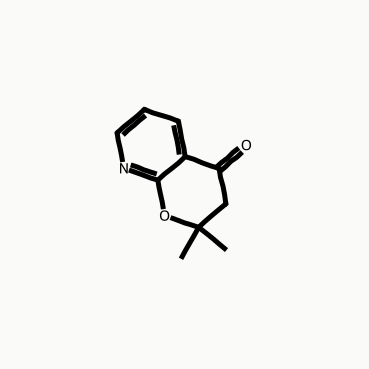 CC1(C)CC(=O)c2cccnc2O1